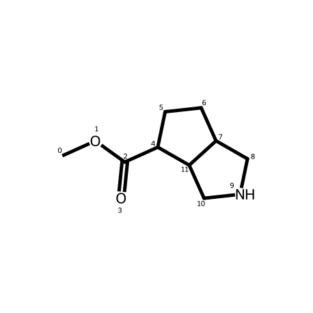 COC(=O)C1CCC2CNCC21